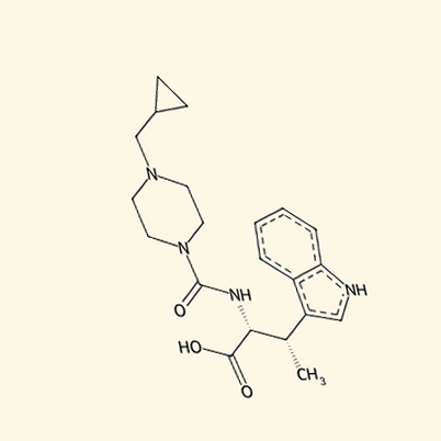 C[C@@H](c1c[nH]c2ccccc12)[C@@H](NC(=O)N1CCN(CC2CC2)CC1)C(=O)O